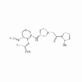 C=Nc1cccc(N[C@H]2CCN(CC(=O)N3CCC[C@H]3C#N)C2)c1/C=C(\C)OC